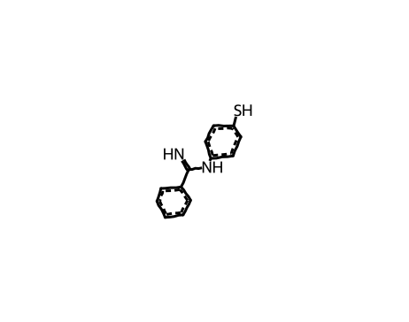 N=C(Nc1ccc(S)cc1)c1ccccc1